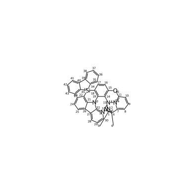 Cc1nn2c(c1C)-c1cccc3[n+]1[N+]21c2c(ccc4c2-n2c5c(cccc5c5ccc[n+]1c52)[Si]41c2ccccc2-c2ccccc21)O3